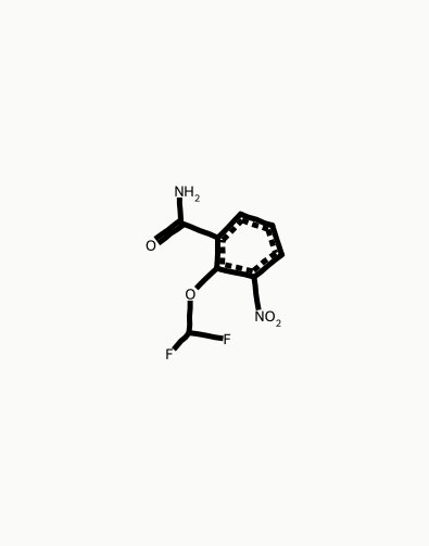 NC(=O)c1cccc([N+](=O)[O-])c1OC(F)F